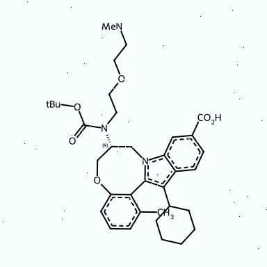 CNCCOCCN(C(=O)OC(C)(C)C)[C@H]1COc2cccc(C)c2-c2c(C3CCCCC3)c3ccc(C(=O)O)cc3n2C1